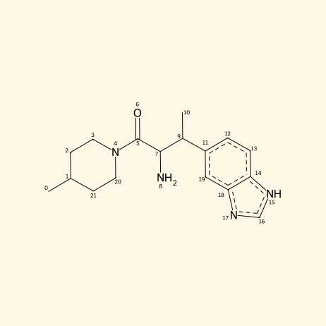 CC1CCN(C(=O)C(N)C(C)c2ccc3[nH]cnc3c2)CC1